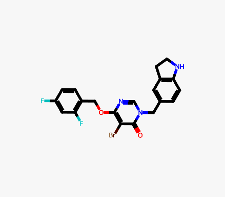 O=c1c(Br)c(OCc2ccc(F)cc2F)ncn1Cc1ccc2c(c1)CCN2